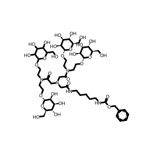 O=C(CN(CC(=O)N(CCOC1OC(CO)C(O)C(O)C1O)CCO[C@H]1O[C@H](CO)[C@@H](O)[C@H](O)[C@@H]1O)CC(=O)N(CCO[C@H]1O[C@H](CO)[C@@H](O)[C@H](O)[C@@H]1O)CCO[C@H]1O[C@H](CO)[C@@H](O)[C@H](O)[C@@H]1O)NCCCCCNC(=O)OCc1ccccc1